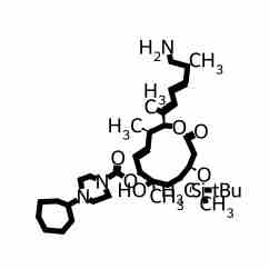 C/C(=C\C=C\[C@@H](C)CN)[C@H]1OC(=O)C[C@H](O[Si](C)(C)C(C)(C)C)CC[C@@](C)(O)[C@@H](OC(=O)N2CCN(C3CCCCCC3)CC2)/C=C/[C@@H]1C